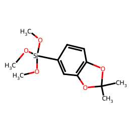 CO[Si](OC)(OC)c1ccc2c(c1)OC(C)(C)O2